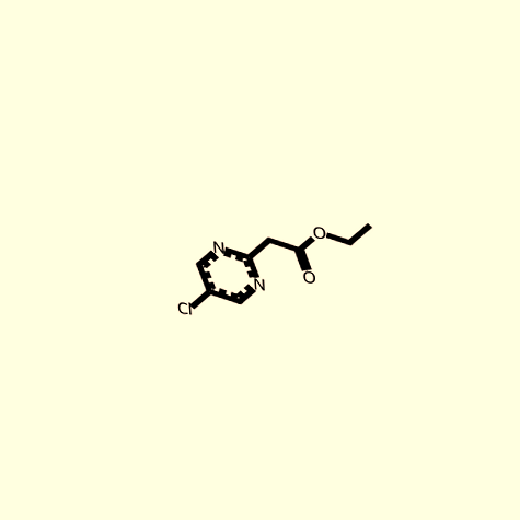 CCOC(=O)Cc1ncc(Cl)cn1